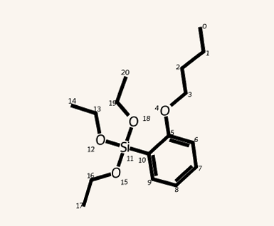 CCCCOc1ccccc1[Si](OCC)(OCC)OCC